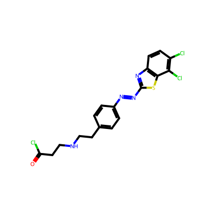 O=C(Cl)CCNCCc1ccc(N=Nc2nc3ccc(Cl)c(Cl)c3s2)cc1